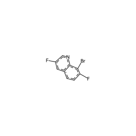 Fc1cnc2c(Br)c(F)ccc2c1